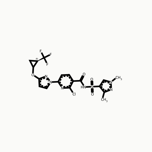 Cc1nn(C)cc1S(=O)(=O)NC(=O)c1ccc(-n2ccc(OC3C[C@H]3C(F)(F)F)n2)nc1Cl